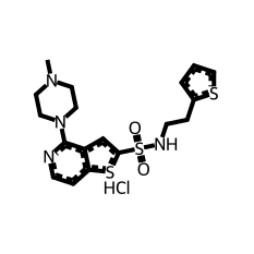 CN1CCN(c2nccc3sc(S(=O)(=O)NCCc4cccs4)cc23)CC1.Cl